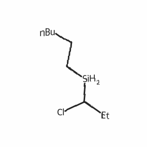 CCCCCC[SiH2]C(Cl)CC